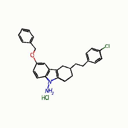 Cl.Nn1c2c(c3cc(OCc4ccccc4)ccc31)CC(CCc1ccc(Cl)cc1)CC2